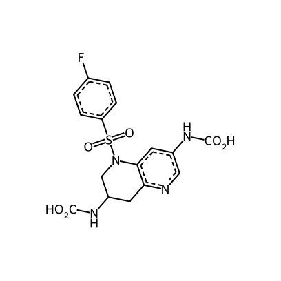 O=C(O)Nc1cnc2c(c1)N(S(=O)(=O)c1ccc(F)cc1)CC(NC(=O)O)C2